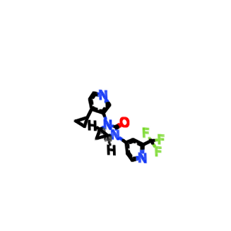 O=C1N(c2ccnc(C(F)(F)F)c2)[C@H]2C[C@@H]2N1c1cnccc1C1CC1